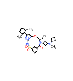 Cc1cccc(C)c1-c1cc2nc(n1)NS(=O)(=O)c1cccc(c1)C(=O)N(C1CC(N(C)C3CCC3)C1)[C@H](CC(C)C)CO2